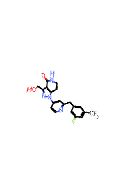 O=C1NCCc2c1c(CO)nn2-c1ccnc(Cc2cc(F)cc(C(F)(F)F)c2)c1